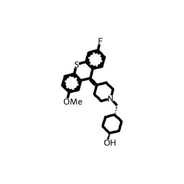 COc1ccc2c(c1)C(=C1CCN(C[C@H]3CC[C@H](O)CC3)CC1)c1ccc(F)cc1S2